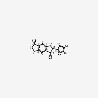 O=C1CCc2cc3c(cc21)CC(c1ccco1)C3=O